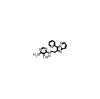 N#Cc1c(N)ncnc1NCCc1nc2cccnn2c1-c1ccccn1